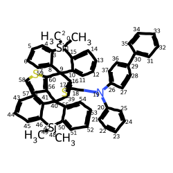 C[Si]1(C)c2ccccc2C2(c3ccccc31)c1cc(N(c3ccccc3)c3ccc(-c4ccccc4)cc3)sc1C1(c3ccccc3[Si](C)(C)c3ccccc31)c1ccsc12